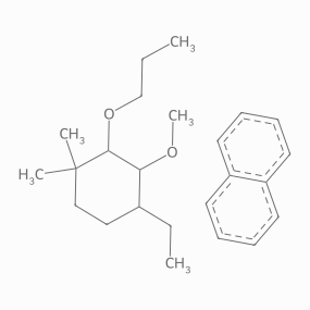 CCCOC1C(OC)C(CC)CCC1(C)C.c1ccc2ccccc2c1